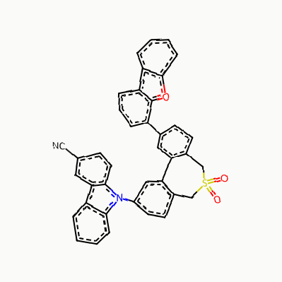 N#Cc1ccc2c(c1)c1ccccc1n2-c1ccc2c(c1)-c1cc(-c3cccc4c3oc3ccccc34)ccc1CS(=O)(=O)C2